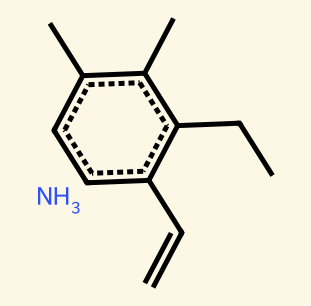 C=Cc1ccc(C)c(C)c1CC.N